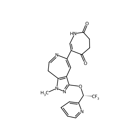 Cn1nc(O[C@@H](c2ccccn2)C(F)(F)F)c2c1CC=NC(C1=CNC(=O)CCC1=O)=C2